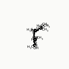 COc1cc2sc(C(=O)CC(C)C(=O)OC(C)(C)C)cc2cc1OCCCOc1c(OC)cc2sc(C(=O)CC(C)C(=O)O)cc2c1F